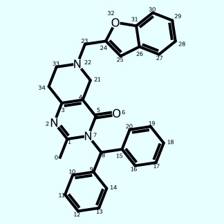 Cc1nc2c(c(=O)n1C(c1ccccc1)c1ccccc1)CN(Cc1cc3ccccc3o1)CC2